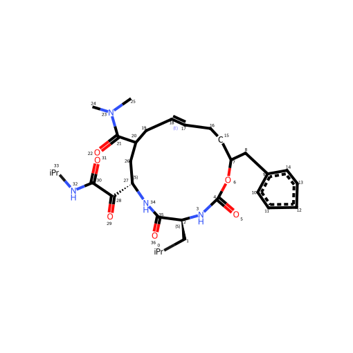 CC(C)C[C@@H]1NC(=O)OC(Cc2ccccc2)CC/C=C/CC(C(=O)N(C)C)C[C@@H](C(=O)C(=O)NC(C)C)NC1=O